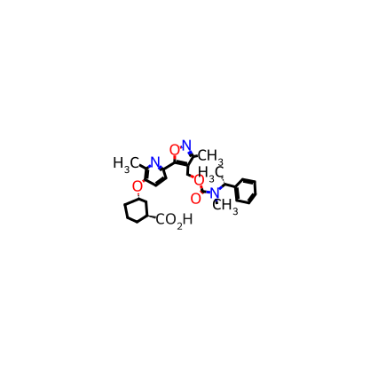 Cc1nc(-c2onc(C)c2COC(=O)N(C)[C@H](C)c2ccccc2)ccc1O[C@H]1CCC[C@H](C(=O)O)C1